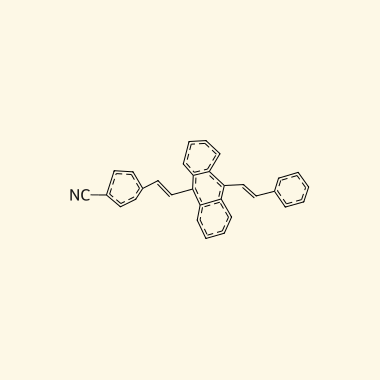 N#Cc1ccc(C=Cc2c3ccccc3c(C=Cc3ccccc3)c3ccccc23)cc1